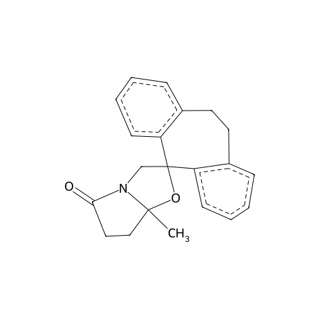 CC12CCC(=O)N1CC1(O2)c2ccccc2CCc2ccccc21